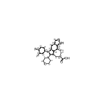 O=C(O)[C@H](F)Cc1c(C2CCOCC2)n(-c2ccc(F)c(F)c2)c2cc3cn[nH]c3c(F)c12